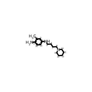 Cc1cc(NCCCCN2CCCCC2)ccc1N